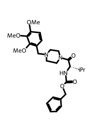 COc1ccc(CN2CCN(C(=O)[C@@H](NC(=O)OCc3ccccc3)C(C)C)CC2)c(OC)c1OC